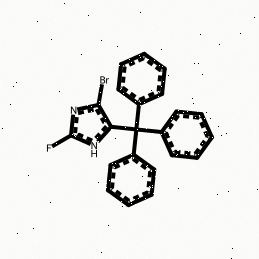 Fc1nc(Br)c(C(c2ccccc2)(c2ccccc2)c2ccccc2)[nH]1